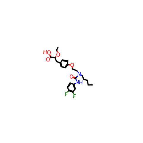 CCCCCN(CCOc1ccc(CC(OCC)C(=O)O)cc1)C(=O)Nc1ccc(F)c(F)c1